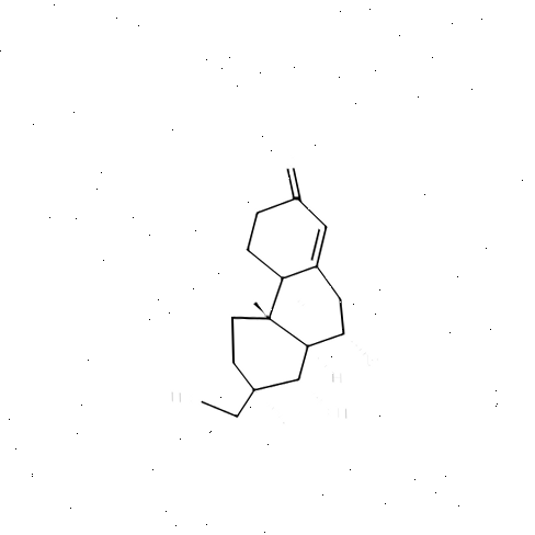 CC[C@@]1(C)CC[C@H]2[C@@H]([C@@H](Br)CC3=CC(=O)CC[C@@H]32)[C@@H]1C